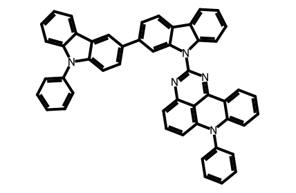 c1ccc(N2c3ccccc3-c3nc(-n4c5ccccc5c5ccc(-c6ccc7c(c6)c6ccccc6n7-c6ccccc6)cc54)nc4cccc2c34)cc1